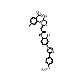 COC(c1ccc(C)cc1N1C(=O)CSC1=NC(=O)Nc1ccc(-n2cnc(-c3ccc(OC(F)(F)F)cc3)c2)cc1Cl)C(F)(F)F